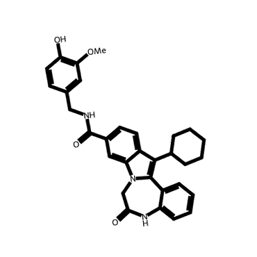 COc1cc(CNC(=O)c2ccc3c(C4CCCCC4)c4n(c3c2)CC(=O)Nc2ccccc2-4)ccc1O